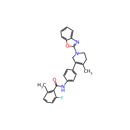 CC1=C(c2ccc(NC(=O)c3c(C)cccc3F)cc2)CN(c2nc3ccccc3o2)CC1